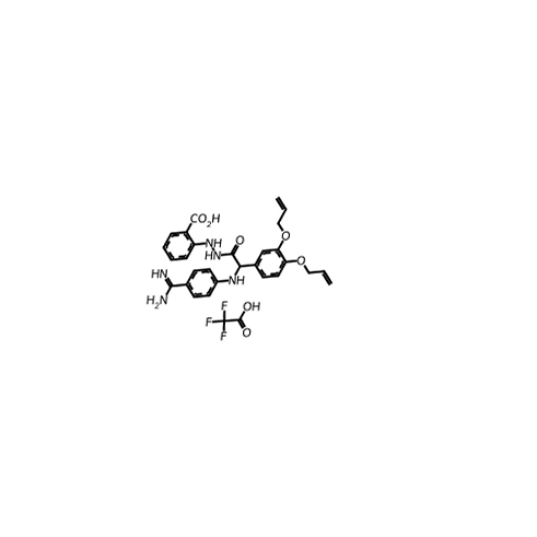 C=CCOc1ccc(C(Nc2ccc(C(=N)N)cc2)C(=O)NNc2ccccc2C(=O)O)cc1OCC=C.O=C(O)C(F)(F)F